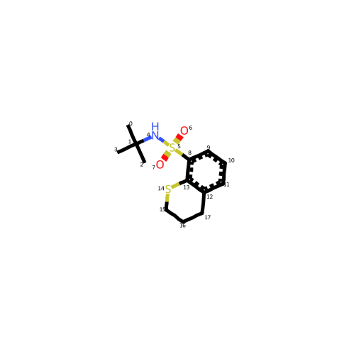 CC(C)(C)NS(=O)(=O)c1cccc2c1SCCC2